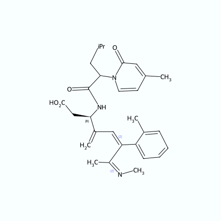 C=C(/C=C(\C(C)=N/C)c1ccccc1C)[C@@H](CC(=O)O)NC(=O)C(CC(C)C)n1ccc(C)cc1=O